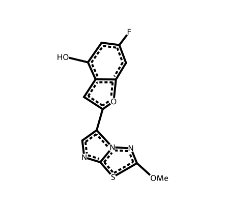 COc1nn2c(-c3cc4c(O)cc(F)cc4o3)cnc2s1